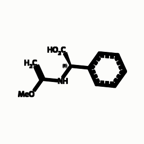 C=C(N[C@@H](C(=O)O)c1ccccc1)OC